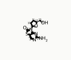 Nc1ncc2sc(=O)n(C3CC[C@@H](CO)O3)c2n1